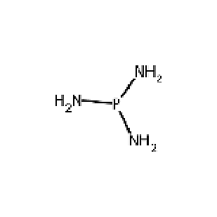 NP(N)N